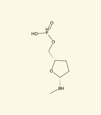 CB[C@H]1CC[C@@H](CO[PH](=O)O)O1